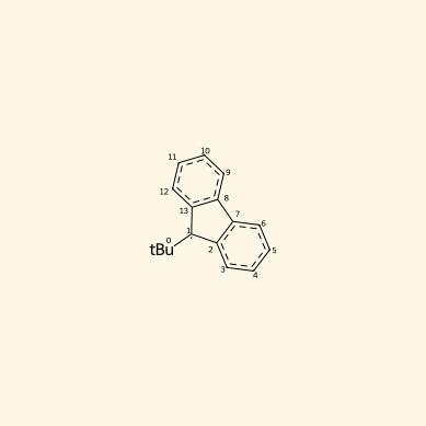 CC(C)(C)[C]1c2ccccc2-c2ccccc21